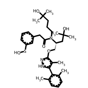 Cc1cccc(C)c1-c1[nH]nc(OC[C@@H](CC(C)(C)O)N(CCCC(C)(C)O)C(=O)Cc2cccc(SO)c2)c1C